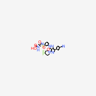 Cc1c(-c2ccc(C#N)cc2)cnc(N2CCCC(F)(F)CC2)c1C(=O)Nc1cccc(S(C)(=O)=NC(=O)C(C)(C)NC(=O)O)c1